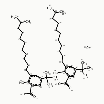 CC(C)CCCCCCCCCc1cc(C(C)(C)C)cc(C(=O)[O-])c1O.CC(C)CCCCCCCCCc1cc(C(C)(C)C)cc(C(=O)[O-])c1O.[Zn+2]